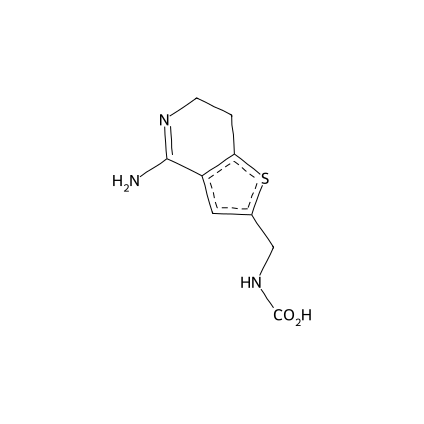 NC1=NCCc2sc(CNC(=O)O)cc21